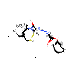 CC(=O)OCC1=C(C(=O)O)N2C(=O)[C@@H](NNCC(=O)OC3=CCCCC3)[C@H]2SC1